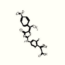 CC(=C1SC(Nc2ccc(C(Br)C(=O)O)c(F)c2)=NC1=O)c1ccc([N+](=O)[O-])cc1